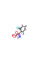 O=C1CN=C(c2ccccc2F)O1